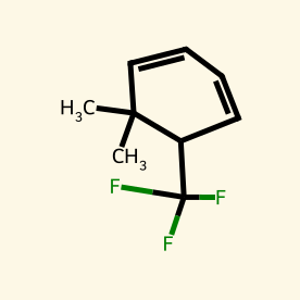 CC1(C)C=CC=CC1C(F)(F)F